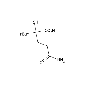 CCCCC(S)(CCC(N)=O)C(=O)O